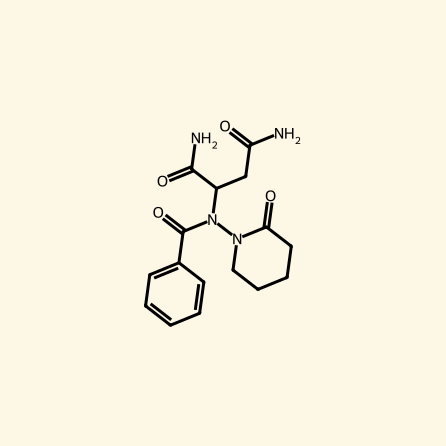 NC(=O)CC(C(N)=O)N(C(=O)c1ccccc1)N1CCCCC1=O